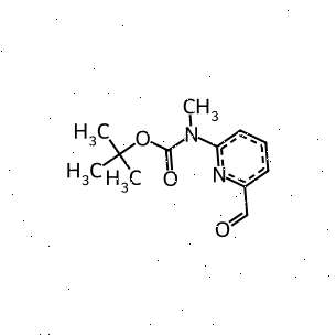 CN(C(=O)OC(C)(C)C)c1cccc(C=O)n1